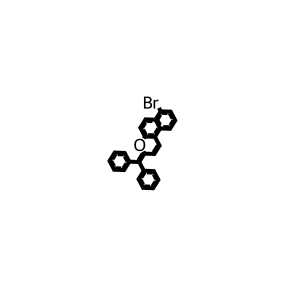 Brc1cccc2c3c(ccc12)OC(=C(c1ccccc1)c1ccccc1)C=C3